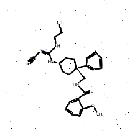 CCCN/C(=N/C#N)N[C@H]1CC[C@](CNC(=O)c2ccccc2OC)(c2ccccc2)CC1